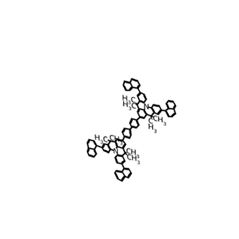 CC1(C)c2cc(-c3cccc4ccccc34)ccc2N2c3ccc(-c4cccc5ccccc45)cc3C(C)(C)c3cc(-c4ccc(-c5ccc(-c6cc7c8c(c6)C(C)(C)c6cc(-c9cccc%10ccccc9%10)ccc6N8c6ccc(-c8cccc9ccccc89)cc6C7(C)C)cc5)cc4)cc1c32